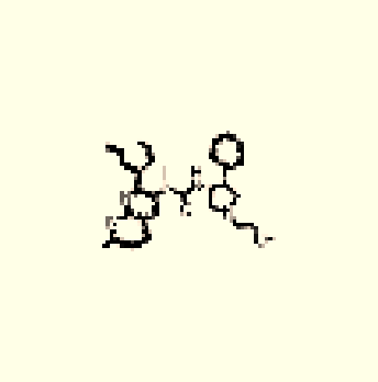 C=C/C=C(\C=C/C)c1nc2nc(C)ccc2cc1NC(=O)N[C@@H]1CN(CCOC)C[C@H]1c1ccccc1